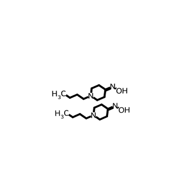 CCCCN1CCC(=NO)CC1.CCCCN1CCC(=NO)CC1